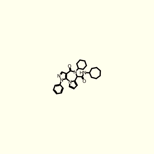 O=C(NC1CCCCCC1)C1c2cccn2-c2c(cnn2-c2ccccc2)C(=O)N1C1CCCCC1